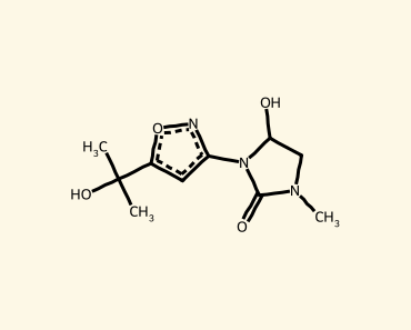 CN1CC(O)N(c2cc(C(C)(C)O)on2)C1=O